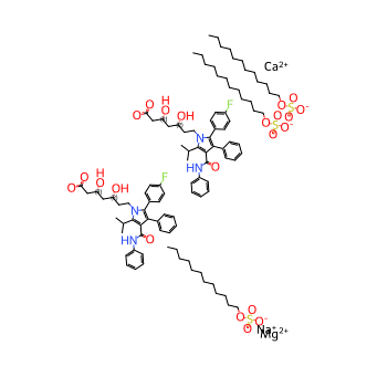 CC(C)c1c(C(=O)Nc2ccccc2)c(-c2ccccc2)c(-c2ccc(F)cc2)n1CC[C@@H](O)C[C@@H](O)CC(=O)[O-].CC(C)c1c(C(=O)Nc2ccccc2)c(-c2ccccc2)c(-c2ccc(F)cc2)n1CC[C@@H](O)C[C@@H](O)CC(=O)[O-].CCCCCCCCCCCCOS(=O)(=O)[O-].CCCCCCCCCCCCOS(=O)(=O)[O-].CCCCCCCCCCCCOS(=O)(=O)[O-].[Ca+2].[Mg+2].[Na+]